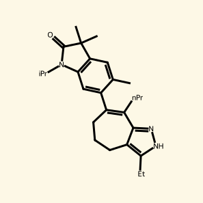 CCCC1=C(c2cc3c(cc2C)C(C)(C)C(=O)N3C(C)C)CCCc2c1n[nH]c2CC